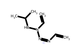 C=C/N=N\N(BC(C)C)C=C